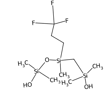 C[Si](C)(O)C[Si](C)(CCC(F)(F)F)O[Si](C)(C)O